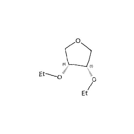 CCO[C@H]1COC[C@H]1OCC